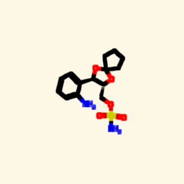 Nc1ccccc1[C@H]1OC2(CCCC2)O[C@@H]1COS(N)(=O)=O